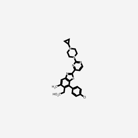 Cc1cc2nc(-c3ccnc(N4CCN(C5CC5)CC4)n3)sc2c(-c2ccc(Cl)cc2)c1CC(=O)O